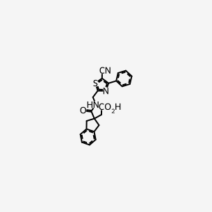 N#Cc1sc(CNC(=O)C2(CC(=O)O)Cc3ccccc3C2)nc1-c1ccccc1